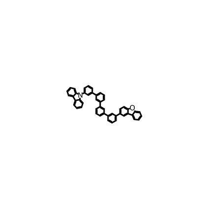 c1cc(-c2cccc(-c3cccc(-n4c5ccccc5c5ccccc54)c3)c2)cc(-c2cccc(-c3ccc4oc5ccccc5c4c3)c2)c1